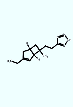 CCC1=C[C@@H]2[C@H](C1)CC2(C)CCc1nn[nH]n1